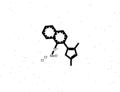 C[O][Ti+2][c]1c(C2=C(C)C=C(C)C2)ccc2ccccc12.[Cl-].[Cl-]